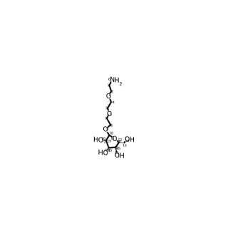 NCCOCCOCCOC1O[C@H](CO)[C@@H](O)[C@H](O)[C@@H]1O